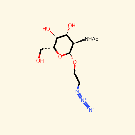 CC(=O)N[C@H]1[C@H](OCCN=[N+]=[N-])O[C@H](CO)[C@H](O)[C@@H]1O